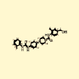 Cc1cc(CO)ccc1NC(=O)N1CCN(c2ccc(NC(=O)Nc3ccccc3F)cc2)CC1